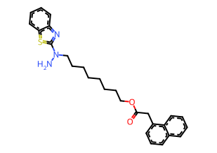 NN(CCCCCCCCOC(=O)Cc1cccc2ccccc12)c1nc2ccccc2s1